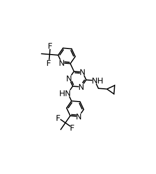 CC(F)(F)c1cc(Nc2nc(NCC3CC3)nc(-c3cccc(C(C)(F)F)n3)n2)ccn1